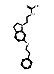 CC(=O)NCCN1CCc2ccc(OCCc3ccccc3)cc21